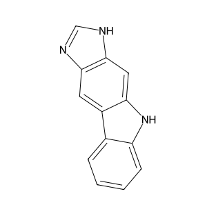 c1ccc2c(c1)[nH]c1cc3[nH]cnc3cc12